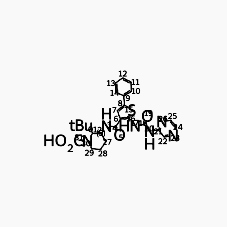 CC(C)(C)C1[C@@H](NC(=O)c2cc(-c3ccccc3)sc2NC(=O)Nc2cnccn2)CCCN1C(=O)O